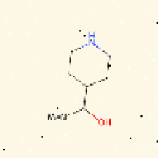 CNC(O)C1CCNCC1